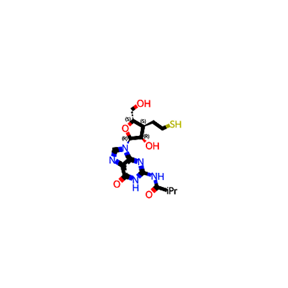 CC(C)C(=O)Nc1nc2c(ncn2[C@@H]2O[C@H](CO)[C@@H](CCS)[C@H]2O)c(=O)[nH]1